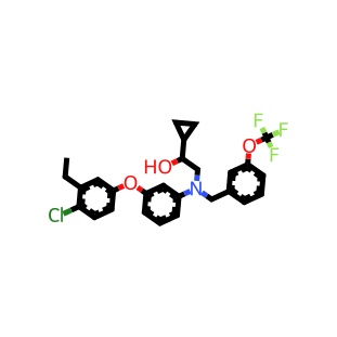 CCc1cc(Oc2cccc(N(Cc3cccc(OC(F)(F)F)c3)CC(O)C3CC3)c2)ccc1Cl